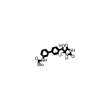 CC(C)(C)C(=O)Nc1cccc(-c2ccc(C(O)C3(C)NC(=O)NC3=O)cc2)c1